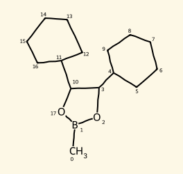 CB1OC(C2CCCCC2)C(C2CCCCC2)O1